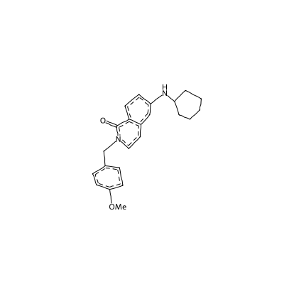 COc1ccc(Cn2ccc3cc(NC4CCCCC4)ccc3c2=O)cc1